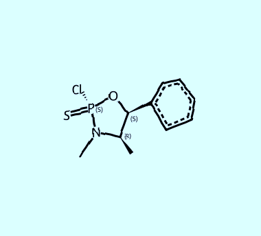 C[C@@H]1[C@H](c2ccccc2)O[P@@](=S)(Cl)N1C